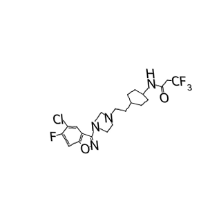 O=C(CC(F)(F)F)NC1CCC(CCN2CCN(c3noc4cc(F)c(Cl)cc34)CC2)CC1